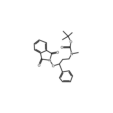 CN(CCC(ON1C(=O)c2ccccc2C1=O)c1ccccc1)C(=O)OC(C)(C)C